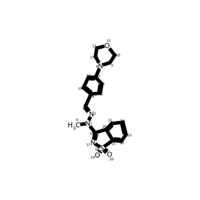 CN(/N=C/c1ccc(N2CCOCC2)cc1)C1=NS(=O)(=O)c2ccccc21